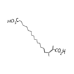 CC(CCCCCCCCCCCCCCC(=O)O)=C(C)C(=O)O